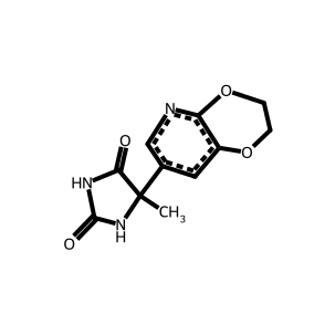 CC1(c2cnc3c(c2)OCCO3)NC(=O)NC1=O